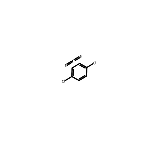 Clc1ccc(Cl)cc1.S=C=S